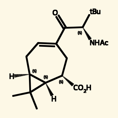 CC(=O)N[C@H](C(=O)C1=CC[C@H]2[C@@H]([C@@H](C(=O)O)C1)C2(C)C)C(C)(C)C